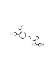 COc1cc(CCC(=O)NO)ccc1O